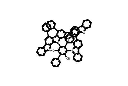 N#Cc1c(-c2ccccc2)c(C#N)c(-n2c3c4sc5ccccc5c4cc(-c4ccccc4)c3c3c(-c4ccccc4)cc4c5ccccc5sc4c32)c(-c2ccccc2)c1-n1c2ccccc2c2ccc(-c3cccc4c3oc3ccccc34)cc21